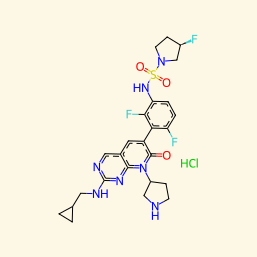 Cl.O=c1c(-c2c(F)ccc(NS(=O)(=O)N3CC[C@@H](F)C3)c2F)cc2cnc(NCC3CC3)nc2n1C1CCNC1